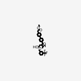 CCOC(=O)Cc1ccc(-c2ccc(-c3onc(C)c3CC(O)OCc3cccc(C(F)(F)F)c3)cc2)cc1